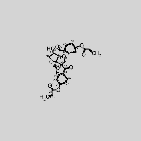 C=CC(=O)Oc1ccc(C(=O)[C@]23OC[C@](O)(C(=O)c4ccc(OC(=O)C=C)cc4)[C@H]2OC[C@@H]3O)cc1